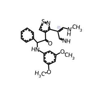 CN/C=C(\C=N)c1nscc1C(=O)C(Nc1cc(OC)cc(OC)c1)c1ccccc1